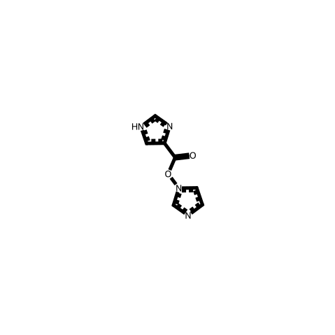 O=C(On1ccnc1)c1c[nH]cn1